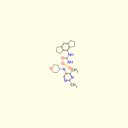 Cc1ncc(N(C2CCOCC2)S(=O)(=O)NC(=O)Nc2c3c(cc4c2CCC4)CCC3)c(C)n1